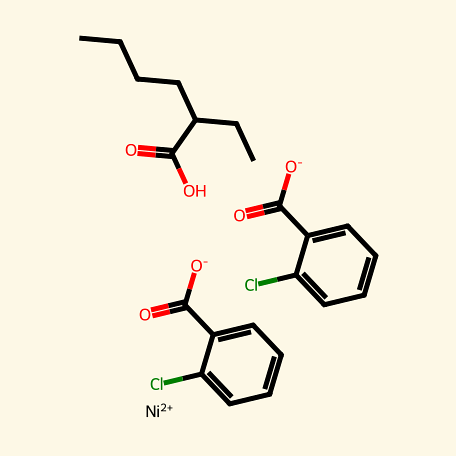 CCCCC(CC)C(=O)O.O=C([O-])c1ccccc1Cl.O=C([O-])c1ccccc1Cl.[Ni+2]